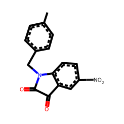 Cc1ccc(CN2C(=O)C(=O)c3cc([N+](=O)[O-])ccc32)cc1